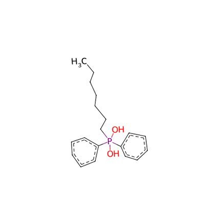 CCCCCCCP(O)(O)(c1ccccc1)c1ccccc1